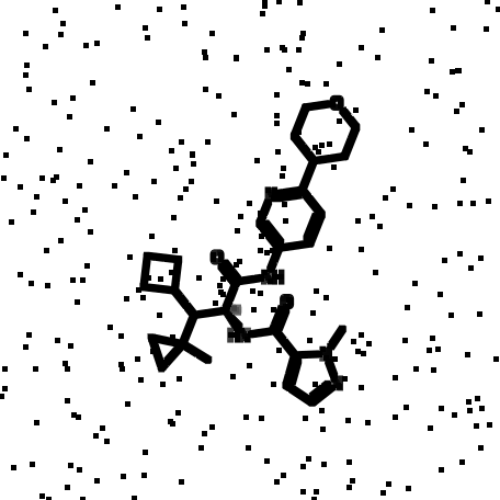 Cn1nccc1C(=O)N[C@H](C(=O)Nc1ccc(C2CCOCC2)nc1)C(C1CCC1)C1(C)CC1